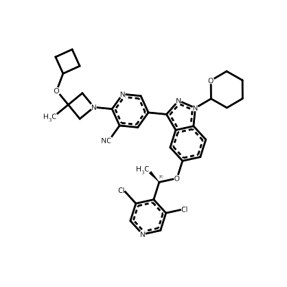 C[C@@H](Oc1ccc2c(c1)c(-c1cnc(N3CC(C)(OC4CCC4)C3)c(C#N)c1)nn2C1CCCCO1)c1c(Cl)cncc1Cl